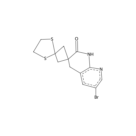 O=C1Nc2ncc(Br)cc2CC12CC1(C2)SCCS1